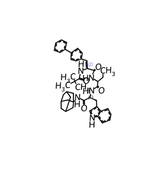 CCC(NC(=O)/C(=C/c1ccc(-c2ccccc2)cc1)NC(=O)C(C)(C)C)C(=O)N[C@@H](Cc1c[nH]c2ccccc12)C(=O)NC12CC3CC(CC(C3)C1)C2